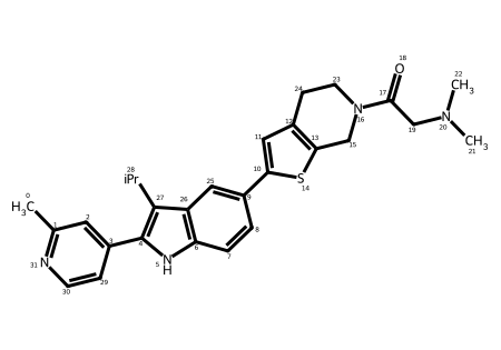 Cc1cc(-c2[nH]c3ccc(-c4cc5c(s4)CN(C(=O)CN(C)C)CC5)cc3c2C(C)C)ccn1